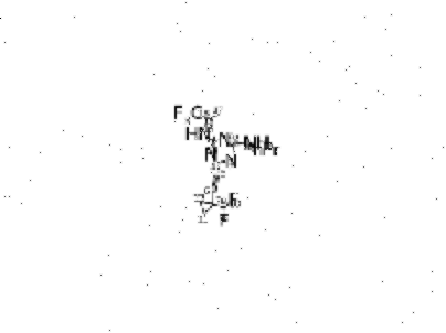 CCCNc1nc(C#CC2(C(F)F)CC2)nc(N[C@H](C)C(F)(F)F)n1